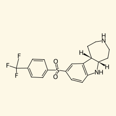 O=S(=O)(c1ccc(C(F)(F)F)cc1)c1ccc2c(c1)[C@@H]1CCNCC[C@@H]1N2